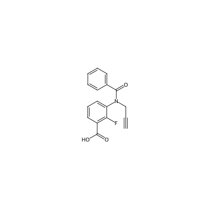 C#CCN(C(=O)c1ccccc1)c1cccc(C(=O)O)c1F